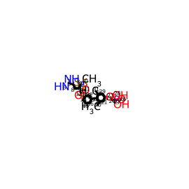 CSc1sc(C(=N)N)cc1S(=O)(=O)c1cccc(-c2c(C)cc(OCP(=O)(O)O)cc2C)c1